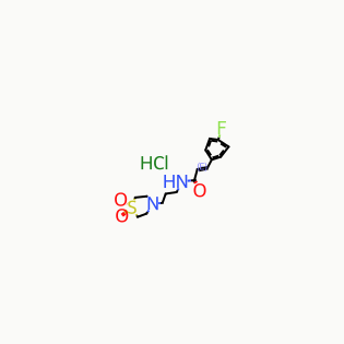 Cl.O=C(/C=C/c1ccc(F)cc1)NCCCN1CCS(=O)(=O)CC1